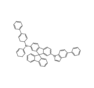 C1=CC(N(c2ccc3c(c2)C2(c4ccccc4-c4ccccc42)c2cc(-n4ccc5cc(-c6ccccc6)ccc54)ccc2-3)C2C=CC(c3ccccc3)=CC2)=CCC1